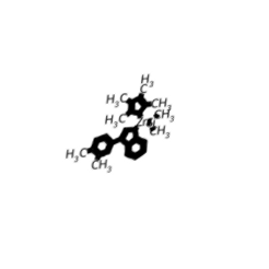 CC1=C(C)[CH]([Zr]([CH]2C=C(c3ccc(C)c(C)c3)c3ccccc32)=[Si](C)C)C(C)=C1C